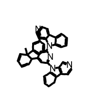 CC1(c2cccc(C#N)c2)C=CC=CC1c1cc(-n2c3c(c4ccncc42)CCC=C3)nc(-n2c3ccccc3c3ccccc32)c1